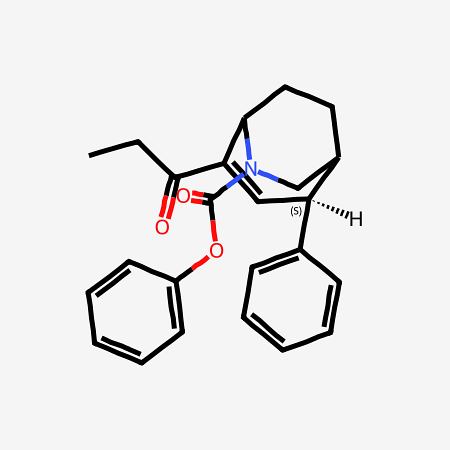 CCC(=O)C1=C[C@H](c2ccccc2)C2CCC1N(C(=O)Oc1ccccc1)C2